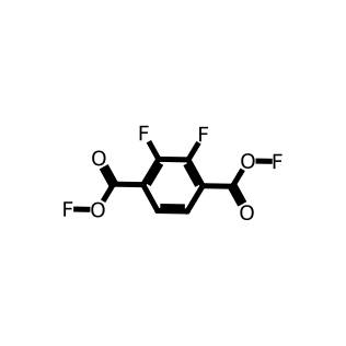 O=C(OF)c1ccc(C(=O)OF)c(F)c1F